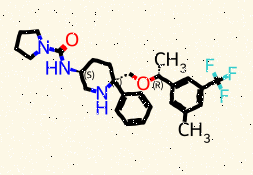 Cc1cc([C@@H](C)OC[C@@]2(c3ccccc3)CC[C@H](NC(=O)N3CCCC3)CN2)cc(C(F)(F)F)c1